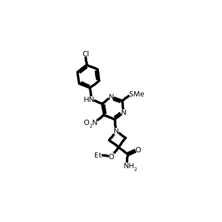 CCOC1(C(N)=O)CN(c2nc(SC)nc(Nc3ccc(Cl)cc3)c2[N+](=O)[O-])C1